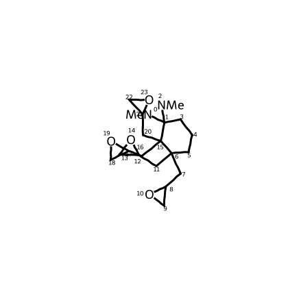 CNC1(NC)CCCC(CC2CO2)(CC2CO2)C1(CC1CO1)CC1CO1